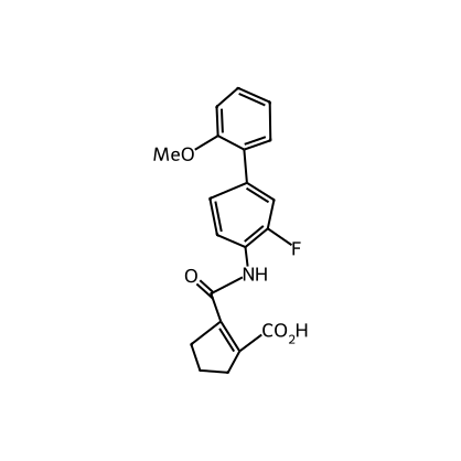 COc1ccccc1-c1ccc(NC(=O)C2=C(C(=O)O)CCC2)c(F)c1